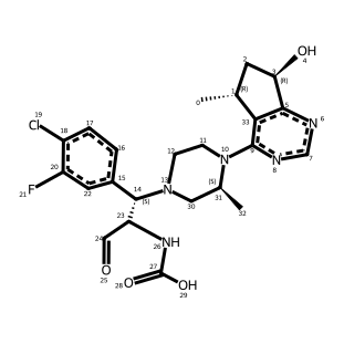 C[C@@H]1C[C@@H](O)c2ncnc(N3CCN([C@@H](c4ccc(Cl)c(F)c4)C(C=O)NC(=O)O)C[C@@H]3C)c21